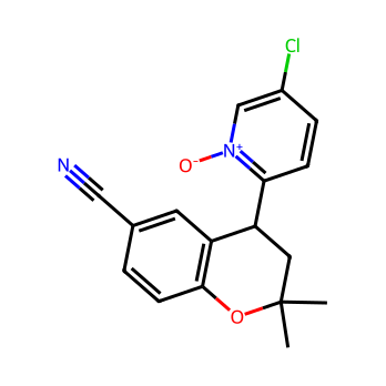 CC1(C)CC(c2ccc(Cl)c[n+]2[O-])c2cc(C#N)ccc2O1